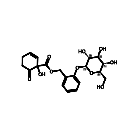 O=C1CCC=CC1(O)C(=O)OCc1ccccc1O[C@@H]1O[C@H](CO)[C@@H](O)[C@H](O)[C@H]1O